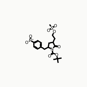 CC(C)(C)OC(=O)N1C(=O)C(CCOS(C)(=O)=O)CC1Cc1ccc([N+](=O)[O-])cc1